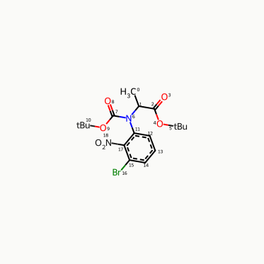 CC(C(=O)OC(C)(C)C)N(C(=O)OC(C)(C)C)c1cccc(Br)c1[N+](=O)[O-]